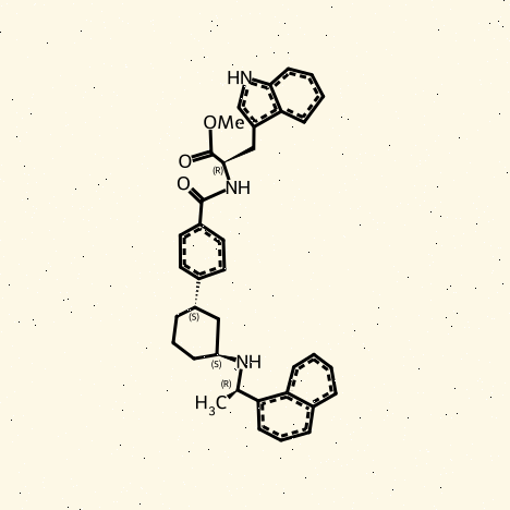 COC(=O)[C@@H](Cc1c[nH]c2ccccc12)NC(=O)c1ccc([C@H]2CCC[C@H](N[C@H](C)c3cccc4ccccc34)C2)cc1